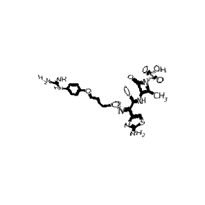 CC1C(NC(=O)C(=NOCCCOc2ccc(NC(=N)N)cc2)c2csc(N)n2)C(=O)N1S(=O)(=O)O